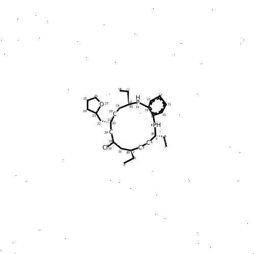 CC[C@@H]1CC[C@@H](CC)Pc2ccccc2P[C@H](CC)CC[C@@H](CC2CCCO2)CC(Cl)C1